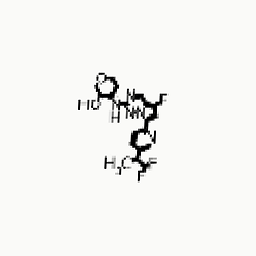 CC(c1ccc(-c2cc(F)c3cnc(N[C@@H]4CCOC[C@H]4O)nn23)nc1)C(F)F